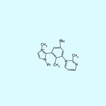 Cc1c(-c2n(C(C)C)cc[n+]2C)cc(C(C)(C)C)cc1-[n+]1cccnc1C